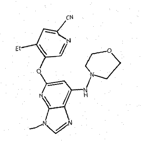 CCc1cc(C#N)ncc1Oc1cc(NN2CCOCC2)c2ncn(C)c2n1